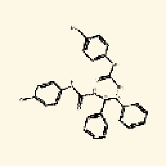 N#Cc1ccc(NC(=S)N[C@H](c2ccccc2)[C@H](NC(=O)Nc2ccc(Cl)cc2)c2ccccc2)cc1